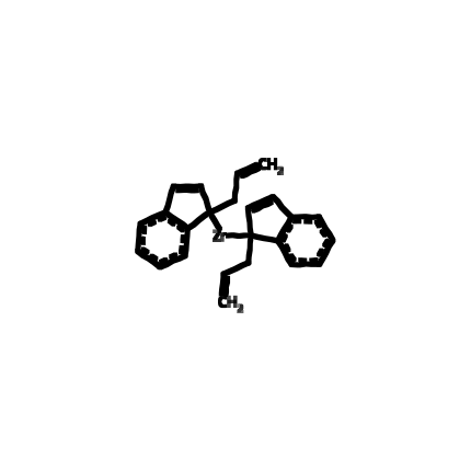 C=CC[C]1([Zr][C]2(CC=C)C=Cc3ccccc32)C=Cc2ccccc21